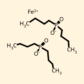 CCCCP(=O)([O-])CCCC.CCCCP(=O)([O-])CCCC.[Fe+2]